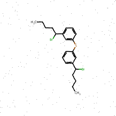 CCCCC(Br)c1cccc(Sc2cccc(C(Br)CCCC)c2)c1